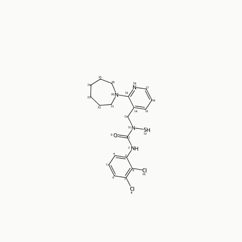 O=C(Nc1cccc(Cl)c1Cl)N(S)Cc1cccnc1N1CCCCCC1